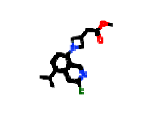 COC(=O)CC1CN(c2ccc(C(C)C)c3cc(Cl)ncc23)C1